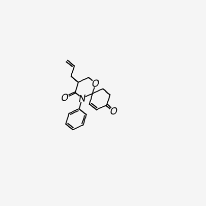 C=CCC1COC2(C=CC(=O)CC2)N(c2ccccc2)C1=O